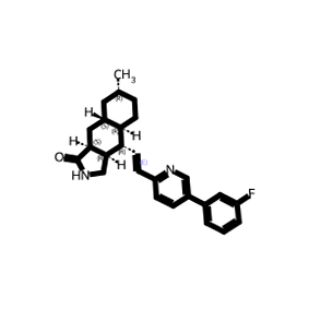 C[C@@H]1CC[C@@H]2[C@@H](C1)C[C@@H]1C(=O)NC[C@@H]1[C@H]2/C=C/c1ccc(-c2cccc(F)c2)cn1